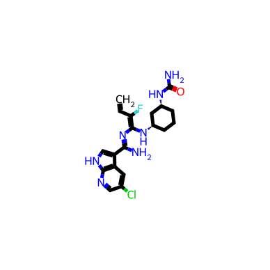 C=C/C(F)=C(\N=C(/N)c1c[nH]c2ncc(Cl)cc12)N[C@H]1CCC[C@@H](NC(N)=O)C1